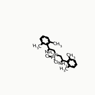 Cc1cccc(C)c1C(N)C[N](CC(N)c1c(C)cccc1C)[Pt]([Cl])[Cl]